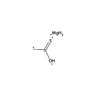 CC(O)=S.[MgH2]